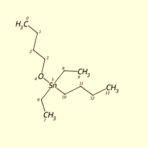 CCCC[O][Sn]([CH2]C)([CH2]C)[CH2]CCC